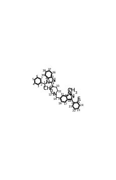 CC(c1ccccc1)n1c(C2CCN(Cc3ccc4c(-c5ccccc5F)nn(C)c4c3)CC2)nc2ccccc21